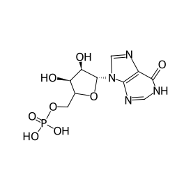 O=c1[nH]cnc2c1ncn2[C@@H]1OC(COP(=O)(O)O)[C@@H](O)[C@H]1O